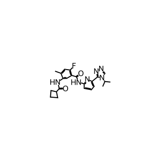 Cc1cc(F)c(C(=O)Nc2cccc(-c3nncn3C(C)C)n2)cc1NC(=O)C1CCC1